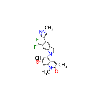 COc1cc(-n2ccc3cc(-c4cnn(C)c4)c(C(F)F)cc32)c2cc(C)c(=O)n(C)c2c1